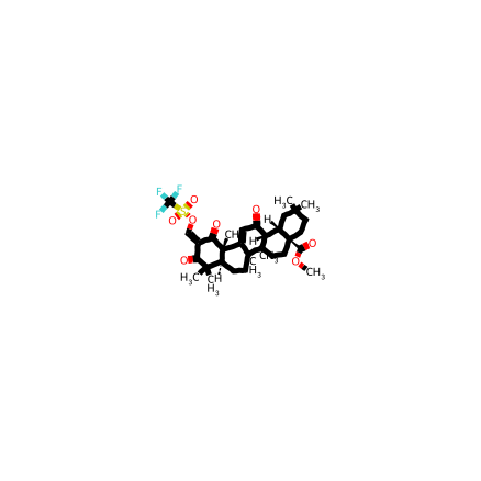 COC(=O)[C@]12CCC(C)(C)C[C@H]1[C@H]1C(=O)C=C3[C@@]4(C)C(=O)/C(=C\OS(=O)(=O)C(F)(F)F)C(=O)C(C)(C)[C@@H]4CC[C@@]3(C)[C@]1(C)CC2